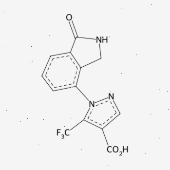 O=C1NCc2c1cccc2-n1ncc(C(=O)O)c1C(F)(F)F